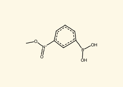 CO[N+](=O)c1cccc(B(O)O)c1